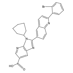 O=C(O)c1cnc2c(c1)nc(-c1ccc3nc(-c4ccccc4Br)ccc3c1)n2C1CCCCC1